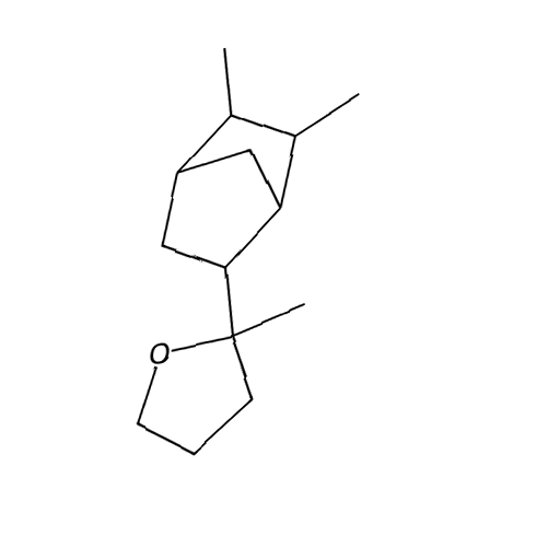 CC1C2CC(C1C)C(C1(C)CCCO1)C2